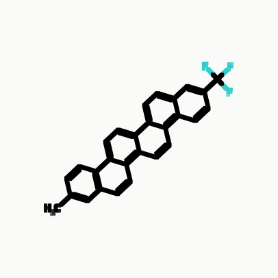 Cc1ccc2c(ccc3c2ccc2c4ccc5cc(C(F)(F)F)ccc5c4ccc32)c1